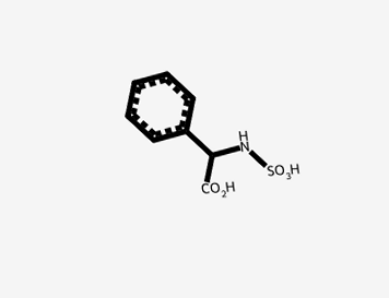 O=C(O)C(NS(=O)(=O)O)c1ccccc1